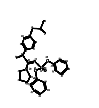 CC(C)Cc1ccc(C(C)C(=NP(=O)(Oc2ccccc2)Oc2ccccc2)N2CCCC2)cc1